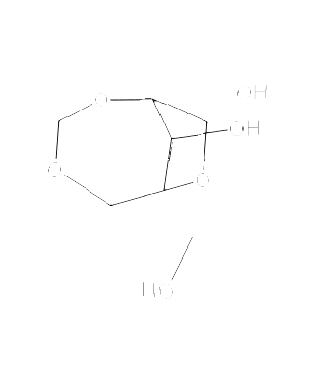 OC[C@]12COCOC(C1O)[C@H](O)O2